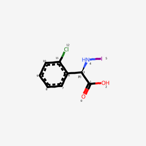 O=C(O)[C@H](NI)c1ccccc1Cl